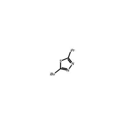 CCC(C)c1nnc(C(C)C)s1